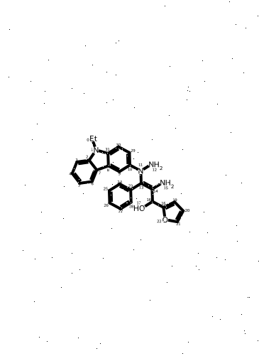 CCn1c2ccccc2c2cc(N(N)/C(=C(\N)C(O)c3ccco3)c3ccccc3)ccc21